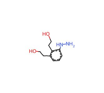 NNc1cccc(CCO)c1CCO